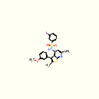 COc1cccc(-c2c(C)sc3nc(C)cc(NS(=O)(=O)c4cccc(I)c4)c23)c1